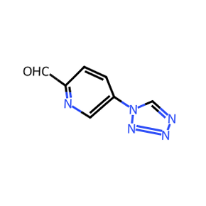 O=Cc1ccc(-n2cnnn2)cn1